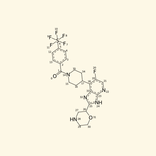 O=C(c1ccc(S(F)(F)(F)(F)F)cc1)N1CCC(c2c(F)cnc3[nH]c(C4CNCCO4)nc23)CC1